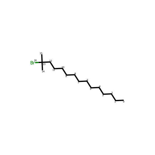 CCCCCCCCCCCCCC(C)(C)Br